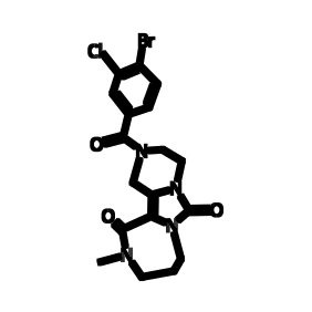 CN1CCCn2c(c3n(c2=O)CCN(C(=O)c2ccc(Br)c(Cl)c2)C3)C1=O